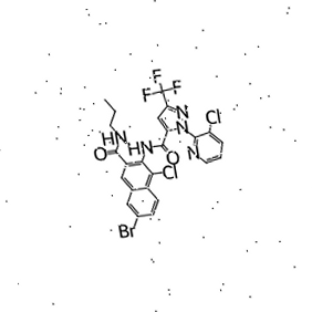 CCCNC(=O)c1cc2cc(Br)ccc2c(Cl)c1NC(=O)c1cc(C(F)(F)F)nn1-c1ncccc1Cl